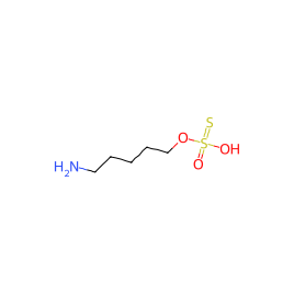 NCCCCCOS(=O)(O)=S